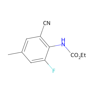 CCOC(=O)Nc1c(F)cc(C)cc1C#N